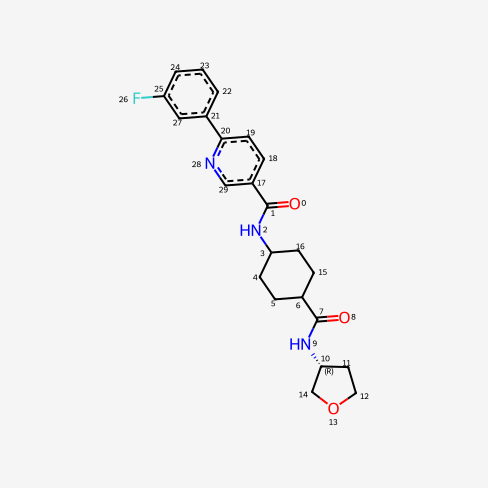 O=C(NC1CCC(C(=O)N[C@@H]2CCOC2)CC1)c1ccc(-c2cccc(F)c2)nc1